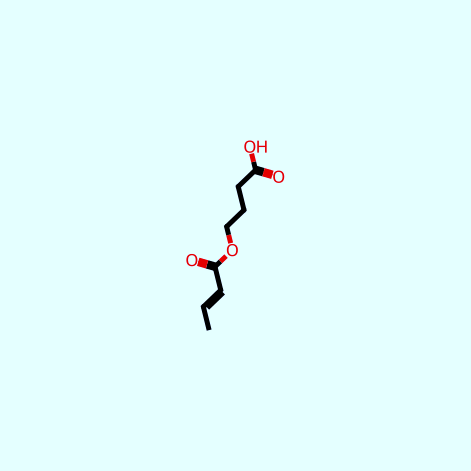 CC=CC(=O)OCCCC(=O)O